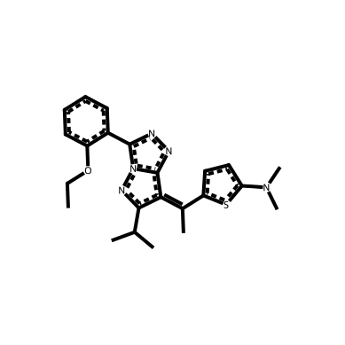 CCOc1ccccc1-c1nnc2/c(=C(/C)c3ccc(N(C)C)s3)c(C(C)C)nn12